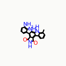 Cc1cccc2c1[nH]c1c3[nH]c4c(N)cccc4c3c3c(c21)C(=O)NC3=O